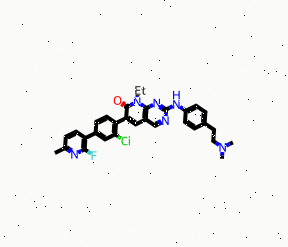 CCn1c(=O)c(-c2ccc(-c3ccc(C)nc3F)cc2Cl)cc2cnc(Nc3ccc(CCN(C)C)cc3)nc21